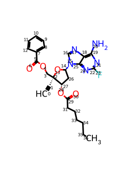 C#C[C@]1(COC(=O)c2ccccc2)O[C@@H](n2cnc3c(N)nc(F)nc32)C[C@@H]1OC(=O)CCCCCC